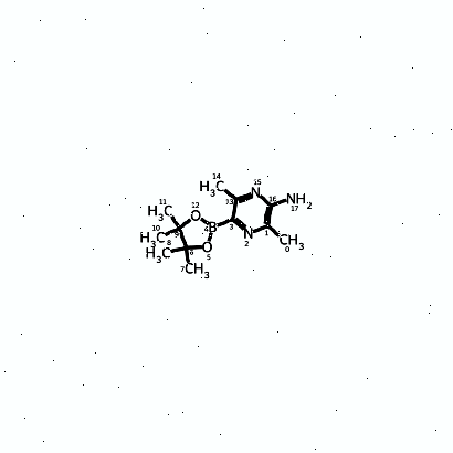 Cc1nc(B2OC(C)(C)C(C)(C)O2)c(C)nc1N